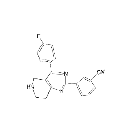 N#Cc1cccc(-c2nc3c(c(-c4ccc(F)cc4)n2)CNCC3)c1